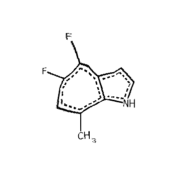 Cc1cc(F)c(F)c2cc[nH]c12